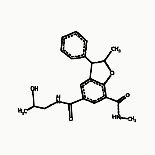 CNC(=O)c1cc(C(=O)NCC(C)O)cc2c1OC(C)C2c1ccccc1